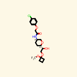 O=C(COc1ccc(Cl)cc1)N[C@@H]1CC[C@@H](C(O)COC2(OC(F)(F)F)CCC2)OC1